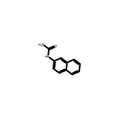 NC(=O)Nc1ccc2[c]cccc2c1